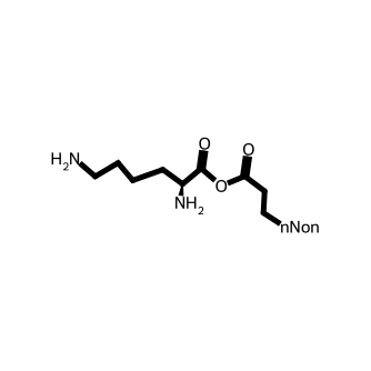 CCCCCCCCCCCC(=O)OC(=O)[C@@H](N)CCCCN